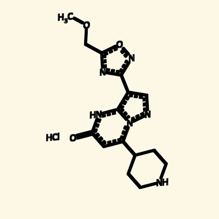 COCc1nc(-c2cnn3c(C4CCNCC4)cc(=O)[nH]c23)no1.Cl